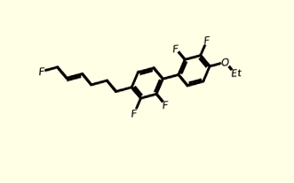 CCOc1ccc(-c2ccc(CCC/C=C/CF)c(F)c2F)c(F)c1F